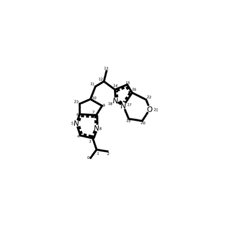 CC(C)c1cnc2c(n1)CC(CC(C)c1cc3n(n1)CCOC3)C2